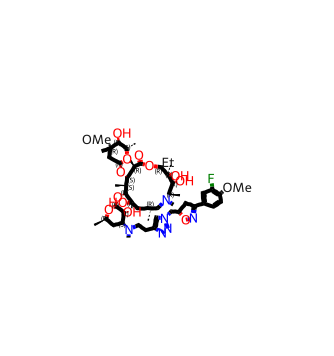 CC[C@H]1OC(=O)[C@H](C)[C@@H](O[C@H]2C[C@@](C)(OC)[C@@H](O)[C@H](C)O2)[C@H](C)[C@@H](O[C@@H]2O[C@H](C)C[C@H](N(C)CCc3cn(CC4CC(c5ccc(OC)c(F)c5)=NO4)nn3)[C@H]2O)[C@](C)(O)C[C@@H](C)CN(C)[C@H](C)[C@@H](O)[C@]1(C)O